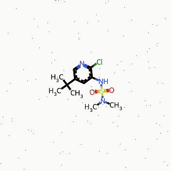 CN(C)S(=O)(=O)Nc1cc(C(C)(C)C)cnc1Cl